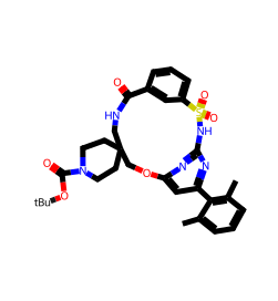 Cc1cccc(C)c1-c1cc2nc(n1)NS(=O)(=O)c1cccc(c1)C(=O)NCC1(CCN(C(=O)OC(C)(C)C)CC1)CO2